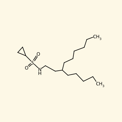 CCCCCCC(CCCCC)CCNS(=O)(=O)C1CC1